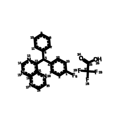 Fc1ccc(C(c2ccccc2)c2ncnc3nccnc23)cc1.O=C(O)C(F)(F)F